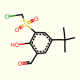 CC(C)(C)c1cc(C=O)c(O)c(S(=O)(=O)CCl)c1